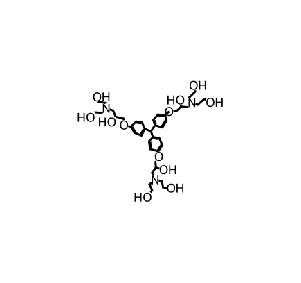 OCCN(CCO)CC(O)COc1ccc(C(c2ccc(OCC(O)CN(CCO)CCO)cc2)c2ccc(OCC(O)CN(CCO)CCO)cc2)cc1